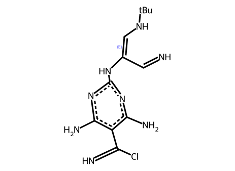 CC(C)(C)N/C=C(\C=N)Nc1nc(N)c(C(=N)Cl)c(N)n1